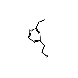 CCc1cc(CCBr)ncn1